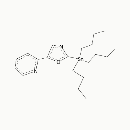 CCC[CH2][Sn]([CH2]CCC)([CH2]CCC)[c]1ncc(-c2ccccn2)o1